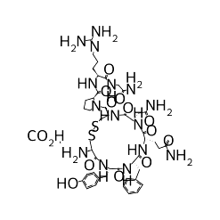 CC(=O)O.NC(=O)CC[C@@H]1NC(=O)[C@H](Cc2ccccc2)NC(=O)[C@H](Cc2ccc(O)cc2)NC(=O)[C@@H](N)CSSC[C@@H](C(=O)N2CCC[C@H]2C(=O)N[C@@H](CCCN=C(N)N)C(=O)NCC(N)=O)NC(=O)[C@H](CC(N)=O)NC1=O